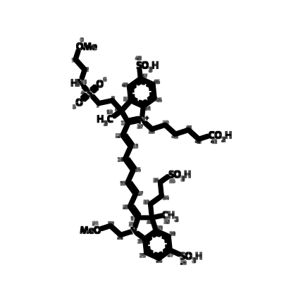 COCCNS(=O)(=O)CCC1(C)C(/C=C/C=C/C=C/C=C2/N(CCOC)c3ccc(S(=O)(=O)O)cc3C2(C)CCCS(=O)(=O)O)=[N+](CCCCCC(=O)O)c2ccc(S(=O)(=O)O)cc21